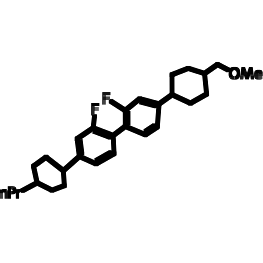 CCCC1CCC(c2ccc(-c3ccc(C4CCC(COC)CC4)cc3F)c(F)c2)CC1